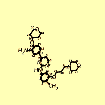 Cc1ccc(Nc2nccc(-c3ccc(OC4CCOCC4)c(N)c3)n2)cc1OCCCN1CCOCC1